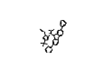 CCCC1C=C(C(C)(C)C)C=[C]1[Zr](=[C](C)C)[CH]1c2cc(-c3ccccc3)ccc2-c2ccc(-c3ccccc3)cc21